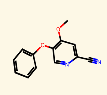 COc1cc(C#N)ncc1Oc1ccccc1